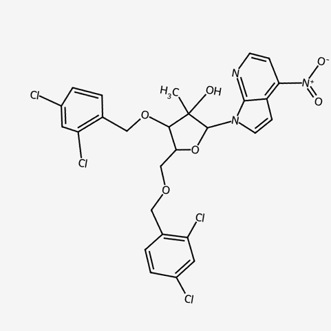 CC1(O)C(OCc2ccc(Cl)cc2Cl)C(COCc2ccc(Cl)cc2Cl)OC1n1ccc2c([N+](=O)[O-])ccnc21